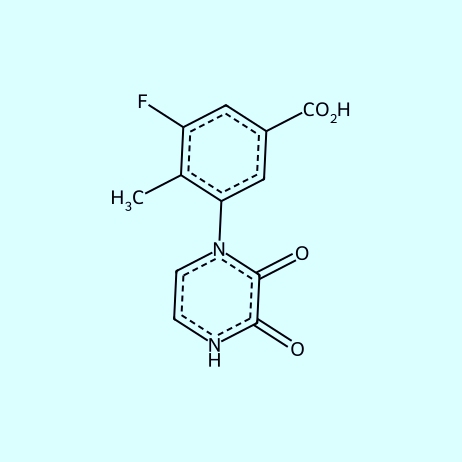 Cc1c(F)cc(C(=O)O)cc1-n1cc[nH]c(=O)c1=O